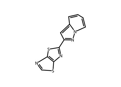 c1ccn2nc(-c3nc4scnc4s3)cc2c1